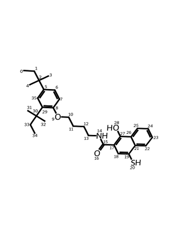 CCC(C)(C)c1ccc(OCCCCNC(=O)c2cc(S)c3ccccc3c2O)c(C(C)(C)CC)c1